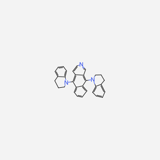 c1ccc2c(c1)CCCN2c1c2ccccc2c(N2CCCc3ccccc32)c2cnccc12